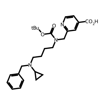 CC(C)(C)OC(=O)N(CCCCN(Cc1ccccc1)C1CC1)Cc1cc(C(=O)O)ccn1